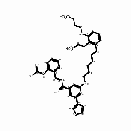 O=C(O)CCCOc1cccc(CCCCCCOc2cc(C(=O)NCc3ccccc3OC(F)F)cc(-c3ccsc3)c2)c1CCC(=O)O